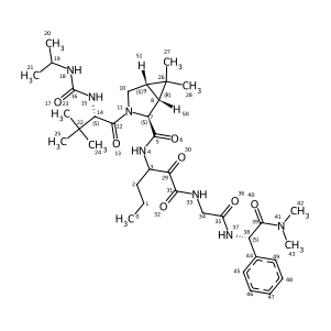 CCCC(NC(=O)[C@@H]1[C@@H]2[C@H](CN1C(=O)[C@@H](NC(=O)NC(C)C)C(C)(C)C)C2(C)C)C(=O)C(=O)NCC(=O)N[C@H](C(=O)N(C)C)c1ccccc1